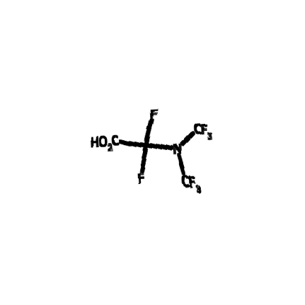 O=C(O)C(F)(F)N(C(F)(F)F)C(F)(F)F